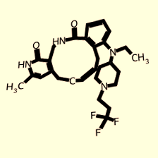 CCN(c1cccc2c1CC=CCCc1cc(C)[nH]c(=O)c1CNC2=O)C1CCN(CCC(F)(F)F)CC1